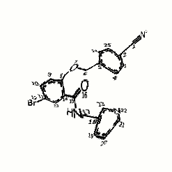 N#Cc1ccc(COc2ccc(Br)cc2C(=O)Nc2cccnc2)cc1